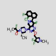 C=C(F)C(=O)N1CCN(c2nc(OCC3CN(C)CC3(F)F)nc3c(F)c(-c4cccc5ccc(F)c(Cl)c45)ncc23)C[C@@H]1CC#N